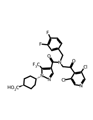 O=C(CN(Cc1ccc(F)c(F)c1)C(=O)c1cnn([C@H]2CC[C@H](C(=O)O)CC2)c1C(F)(F)F)c1c(Cl)cncc1Cl